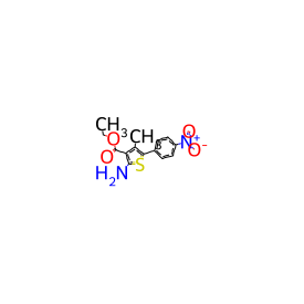 CCOC(=O)c1c(N)sc(-c2ccc([N+](=O)[O-])cc2)c1C